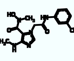 CNc1ncn(CC(=O)Nc2cccc(Cl)c2)c1C(=O)N(C)O